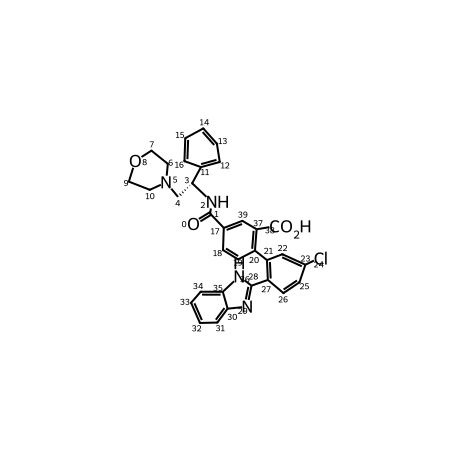 O=C(N[C@H](CN1CCOCC1)c1ccccc1)c1ccc(-c2cc(Cl)ccc2-c2nc3ccccc3[nH]2)c(C(=O)O)c1